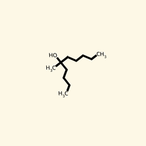 CCCC[CH]C(C)(O)CCCC